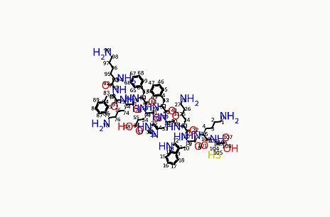 NCCCC[C@H](NC(=O)[C@H](Cc1c[nH]c2ccccc12)NC(=O)[C@H](CCCCN)NC(=O)[C@H](Cc1c[nH]cn1)NC(=O)[C@H](Cc1ccccc1)NC(=O)[C@H](CCC(=O)O)NC(=O)[C@H](Cc1ccccc1)NC(=O)[C@H](CCCCN)NC(=O)[C@H](Cc1ccccc1)NC(=O)[C@@H](N)CCCCN)C(=O)N[C@@H](CS)C(=O)O